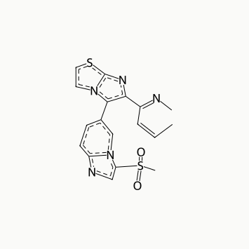 C/C=C\C(=N/C)c1nc2sccn2c1-c1ccc2ncc(S(C)(=O)=O)n2c1